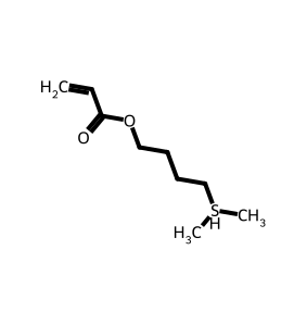 C=CC(=O)OCCCC[SH](C)C